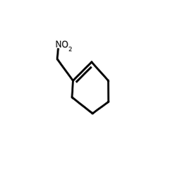 O=[N+]([O-])CC1=CCCCC1